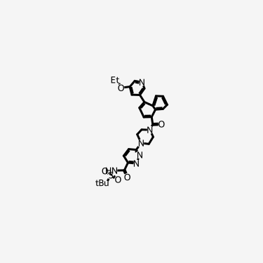 CCOc1cncc(-c2ccc(C(=O)N3CCN(c4ccc(C(=O)NS(=O)(=O)C(C)(C)C)nn4)CC3)c3ccccc23)c1